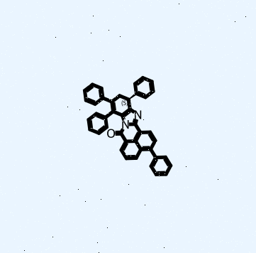 O=c1c2cccc3c(-c4ccccc4)ccc(c32)c2nc3c(n12)C(c1ccccc1)=C(c1ccccc1)C[C@H]3c1ccccc1